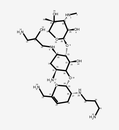 CN[C@@H]1[C@@H](O)[C@@H](O[C@H]2[C@H](NCC(O)CN)C[C@H](N)C(O[C@H]3OC(CN)=CC[C@H]3NCCCN)[C@@H]2O)OC[C@]1(C)O